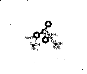 C.COc1ccc(-c2cc(-c3ccccc3)nn2-c2ccccc2S(N)(=O)=O)cc1F.NC(O)=S.NC(O)=S.O